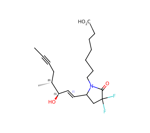 CC#CC[C@@H](C)[C@H](O)/C=C/C1CC(F)(F)C(=O)N1CCCCCCC(=O)O